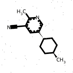 Cc1ncc([C@H]2CC[C@H](C)CC2)cc1C#N